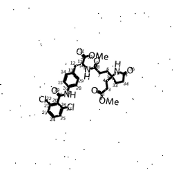 COC(=O)CCC1(CCC(=O)N[C@@H](Cc2ccc(NC(=O)c3c(Cl)cccc3Cl)cc2)C(=O)OC)CCC(=O)N1